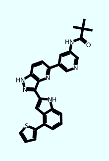 CC(C)(C)C(=O)Nc1cncc(-c2ccc3[nH]nc(-c4cc5c(-c6cccs6)cccc5[nH]4)c3n2)c1